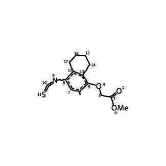 COC(=O)COc1ccc(N=C=S)c2c1CCCC2